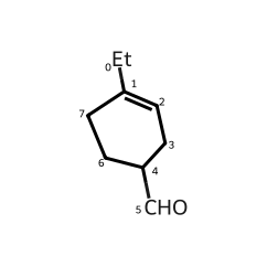 CCC1=CCC(C=O)CC1